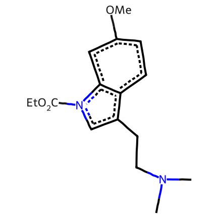 CCOC(=O)n1cc(CCN(C)C)c2ccc(OC)cc21